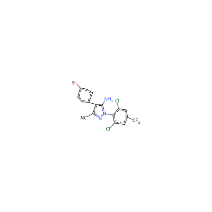 N#Cc1nn(-c2c(Cl)cc(C(F)(F)F)cc2Cl)c(N)c1-c1ccc(Br)cc1